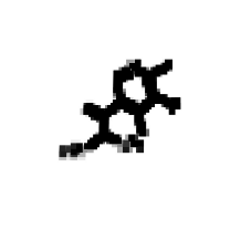 C=C(c1cnc(C)c(F)c1C)C(CCC)CCC